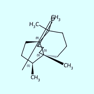 C[C@H]1CC[C@]23C(=O)C[C@H](C)[C@]12CCCC3(C)C